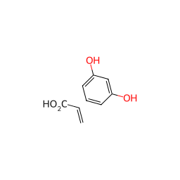 C=CC(=O)O.Oc1cccc(O)c1